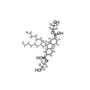 CCCCCCCCC1(CCCCCCCC)c2cc(B(O)OC(C)(C)C(C)(C)O)ccc2-c2ccc(B(O)OC(C)(C)C(C)(C)O)cc21